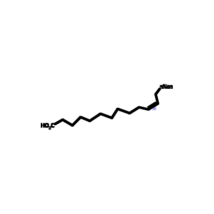 CCCCCCCCCC/C=C\CCCCCCCCCC(=O)O